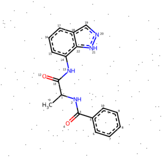 CC(NC(=O)c1ccccc1)C(=O)Nc1cccc2cn[nH]c12